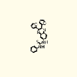 S=C(Nc1ccccc1)Nc1ccc2nc(-c3ccco3)c(-c3ccco3)nc2c1